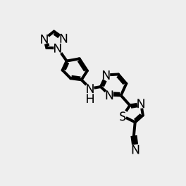 N#Cc1cnc(-c2ccnc(Nc3ccc(-n4cncn4)cc3)n2)s1